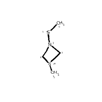 CSN1CN(C)C1